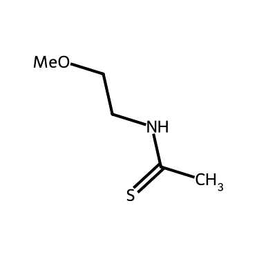 COCCNC(C)=S